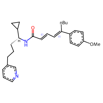 CCCC/C(=C\C=C\C(=O)N[C@H](CCCc1cccnc1)C1CC1)c1ccc(OC)cc1